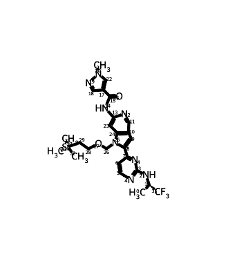 C[C@@H](Nc1nccc(-c2cc3cnc(NC(=O)c4cnn(C)c4)cc3n2COCC[Si](C)(C)C)n1)C(F)(F)F